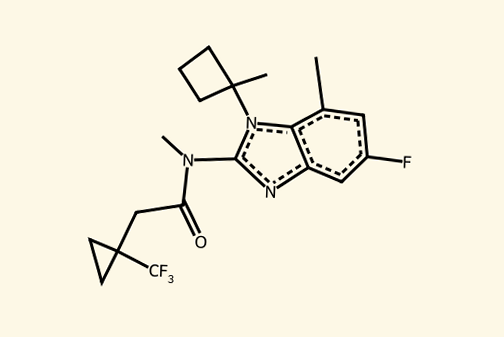 Cc1cc(F)cc2nc(N(C)C(=O)CC3(C(F)(F)F)CC3)n(C3(C)CCC3)c12